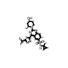 C[C@H]1C[C@H](O)CCN1c1nc(-c2nnc(C(F)F)s2)c2cc(S(=O)(=O)NC3(C)CC3)ccc2n1